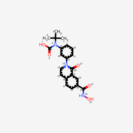 CC(C)(C)N(C(=O)O)c1cccc(-n2ccc3ccc(C(=O)NO)cc3c2=O)c1